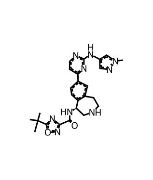 Cn1cc(Nc2nccc(-c3ccc4c(c3)CCNC[C@H]4NC(=O)c3noc(C(C)(C)C)n3)n2)cn1